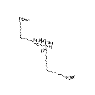 CCCCCCCCCCCCCCCC/C=C\CCCCCCCC(=O)NC(CCCC)CC(CCCCCC/C=C\CCCCCCCCCCCCCCCC)C(N)=O